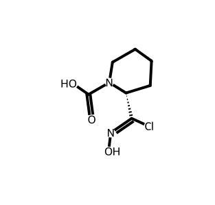 O=C(O)N1CCCC[C@@H]1C(Cl)=NO